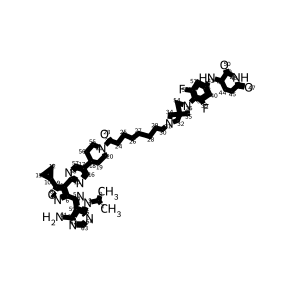 CC(C)n1nc(-c2noc(C3CC3)c2-c2ncc(C3CCN(C(=O)CCCCCCCN4CC5(C4)CN(c4c(F)cc(NC6CCC(=O)NC6=O)cc4F)C5)CC3)cn2)c2c(N)ncnc21